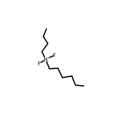 CCCCCC[N+](F)(F)CCCC